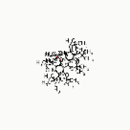 CC(C)Oc1cc(OC(C)(C)C)c(OC(C)(C)C)c(C2OC(C)(C)Oc3c(OC(C)(C)C)c(OC(C)(C)C)cc(OC(C)(C)C)c32)c1OC(C)(C)C